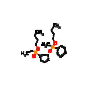 CCCCOP(=O)(CC)c1ccccc1.CCCCOP(C)(=O)c1ccccc1